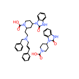 O=C(O)N1CCC(n2c(=O)[nH]c3ccccc32)CC1.O=C(O)N1CCC(n2c(=O)[nH]c3ccccc32)CC1CCN(C/C=C/c1ccccc1)Cc1ccccc1